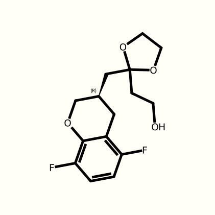 OCCC1(C[C@@H]2COc3c(F)ccc(F)c3C2)OCCO1